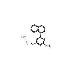 CCc1cc(-c2cccc3ccccc23)nc(N)n1.Cl